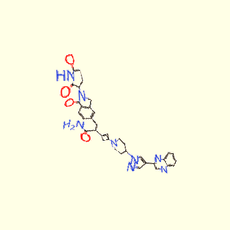 NC(=O)C(Cc1ccc2c(c1)CN(C1CCC(=O)NC1=O)C2=O)C12CC(N3CCC(n4cc(-c5cnc6ccccc6n5)cn4)CC3)(C1)C2